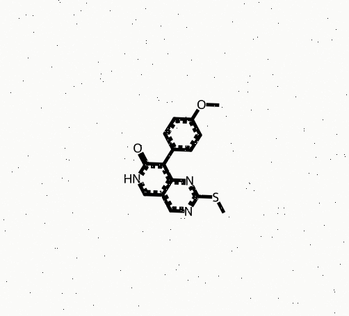 COc1ccc(-c2c(=O)[nH]cc3cnc(SC)nc23)cc1